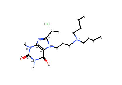 CCCCN(CCCC)CCCn1c(CC)nc2c1c(=O)n(C)c(=O)n2C.Cl